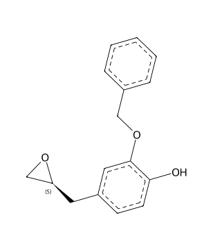 Oc1ccc(C[C@H]2CO2)cc1OCc1ccccc1